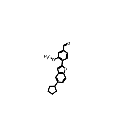 COc1cc(C=O)ccc1-c1cc2cc(C3CCCC3)ccc2o1